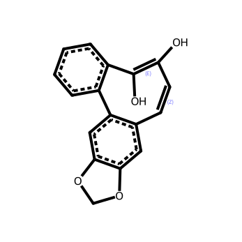 OC1=C(/O)c2ccccc2-c2cc3c(cc2/C=C\1)OCO3